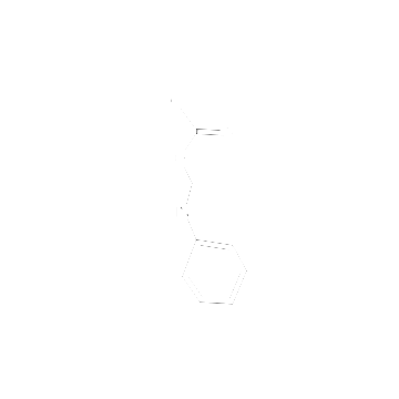 CC(=O)OCNc1ccccc1